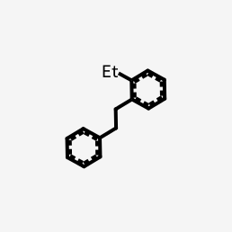 CCc1ccccc1CCc1ccccc1